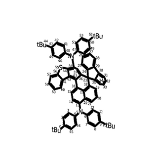 CC(C)(C)c1ccc(N(c2ccc(C(C)(C)C)cc2)c2ccc3c4c(cccc24)C2(c4ccccc4-c4ccccc42)c2cc(N(c4ccc(C(C)(C)C)cc4)c4ccc(C(C)(C)C)cc4)c4sc5ccccc5c4c2-3)cc1